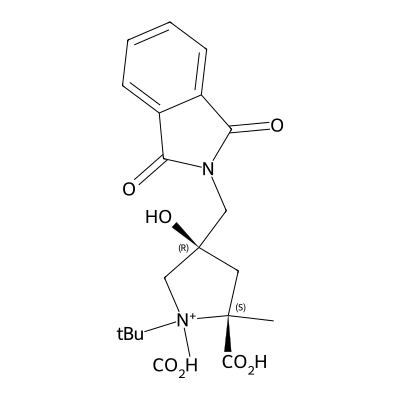 CC(C)(C)[N+]1(C(=O)O)C[C@](O)(CN2C(=O)c3ccccc3C2=O)C[C@@]1(C)C(=O)O